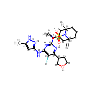 CCS(=O)(=O)N1[C@@H]2CCC[C@H]1C[C@H](N(C)c1nc(Nc3cc(C)[nH]n3)c(F)c(C3CCOC3)n1)C2